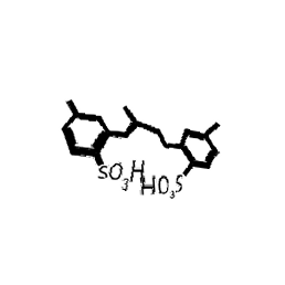 Cc1ccc(S(=O)(=O)O)c(CCC(C)Cc2cc(C)ccc2S(=O)(=O)O)c1